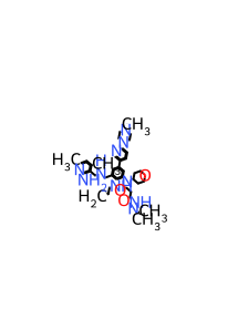 C=CCNc1c(CNCc2c(C)cc(C)nc2N)cc(-c2ccc(N3CCN(C)CC3)nc2)cc1N(C(=O)CC(=O)NN=C(C)C)C1CCOCC1